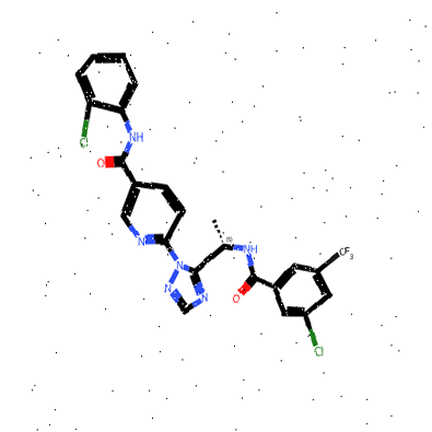 C[C@H](NC(=O)c1cc(Cl)cc(C(F)(F)F)c1)c1ncnn1-c1ccc(C(=O)Nc2ccccc2Cl)cn1